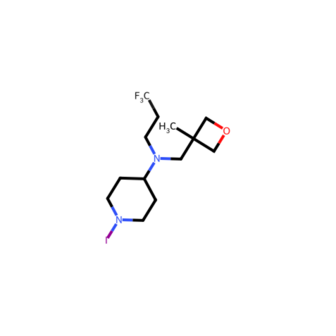 CC1(CN(CCC(F)(F)F)C2CCN(I)CC2)COC1